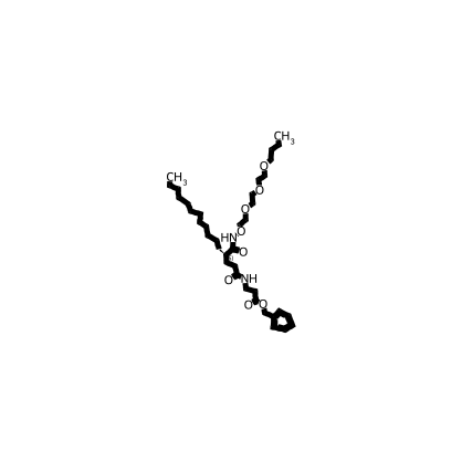 CCCCCCCCCCCC[C@@H](CCC(=O)NCCC(=O)OCc1ccccc1)C(=O)NOCCOCCOCCOCCCC